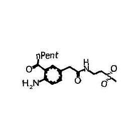 CCCCCC(=O)c1cc(CC(=O)NCCS(C)(=O)=O)ccc1N